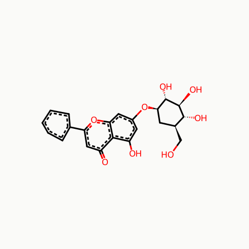 O=c1cc(-c2ccccc2)oc2cc(O[C@@H]3C[C@H](CO)[C@@H](O)[C@H](O)[C@H]3O)cc(O)c12